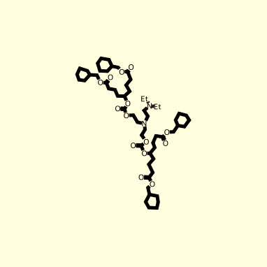 CCN(CC)CCN(CCOC(=O)OC(CCCC(=O)OCC1CCCCC1)CCCC(=O)OCC1CCCCC1)CCOC(=O)OC(CCCC(=O)OCC1CCCCC1)CCCC(=O)OCC1CCCCC1